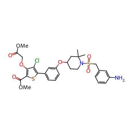 COC(=O)COc1c(C(=O)OC)sc(-c2cccc(OC3CCN(S(=O)(=O)Cc4cccc(N)c4)C(C)(C)C3)c2)c1Cl